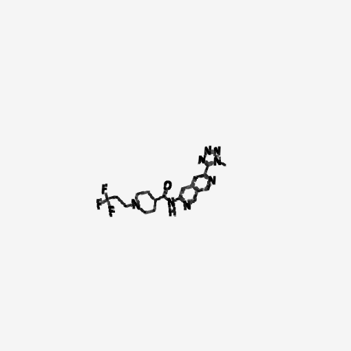 Cn1nnnc1-c1cc2cc(NC(=O)C3CCN(CCC(F)(F)F)CC3)ncc2cn1